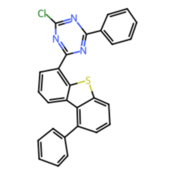 Clc1nc(-c2ccccc2)nc(-c2cccc3c2sc2cccc(-c4ccccc4)c23)n1